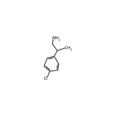 CC([CH2][AlH2])c1ccc(Cl)cc1